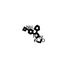 CN1CCC(=O)N(C)c2cc(-c3ccccc3)c(-c3ccc(C4(N)CCC4)cc3)nc21